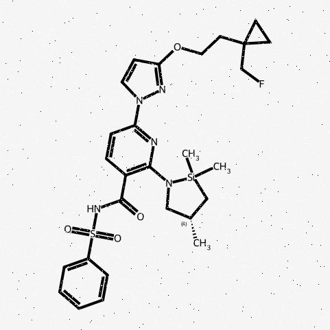 C[C@@H]1CN(c2nc(-n3ccc(OCCC4(CF)CC4)n3)ccc2C(=O)NS(=O)(=O)c2ccccc2)[Si](C)(C)C1